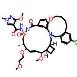 COCCO[C@H]1/C=C/[C@H](OC)[C@@H]2CC[C@H]2CN2Cc3ccc(Cl)cc3CCCCOc3ccc(cc32)C(=O)N=S(=O)(NC(=O)c2cn(C)nc2OC)C[C@H]1C